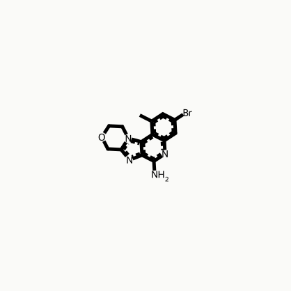 Cc1cc(Br)cc2nc(N)c3nc4n(c3c12)CCOC4